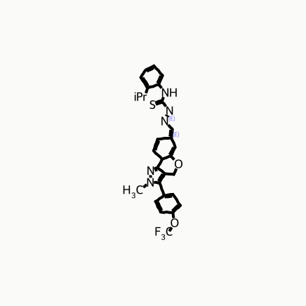 CC(C)c1ccccc1NC(=S)/N=N/C=C1\C=CC2C(=C1)OCc1c2nn(C)c1-c1ccc(OC(F)(F)F)cc1